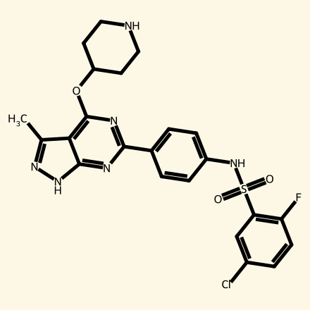 Cc1n[nH]c2nc(-c3ccc(NS(=O)(=O)c4cc(Cl)ccc4F)cc3)nc(OC3CCNCC3)c12